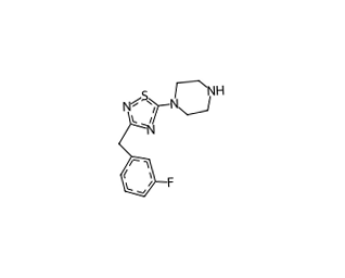 Fc1cccc(Cc2nsc(N3CCNCC3)n2)c1